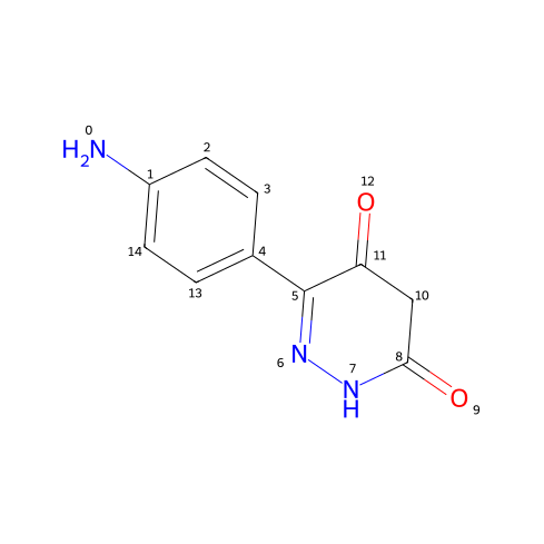 Nc1ccc(C2=NNC(=O)CC2=O)cc1